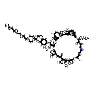 CCOCCOCCOCCN1CCN(C(=O)O[C@@H]2CC[C@@H](C[C@@H](N)[C@@H]3C[C@@H](O)[C@H](C)/C=C(\C)[C@@H](O)[C@@H](O)C(=O)[C@H](C)C[C@H](C)/C=C/C=C/C=C(\C)[C@@H](OC)C[C@@H]4CC[C@@H](C)[C@@](O)(O4)C(=O)C(=O)N4CCCC[C@H]4C(=O)O3)C[C@H]2OC)CC1